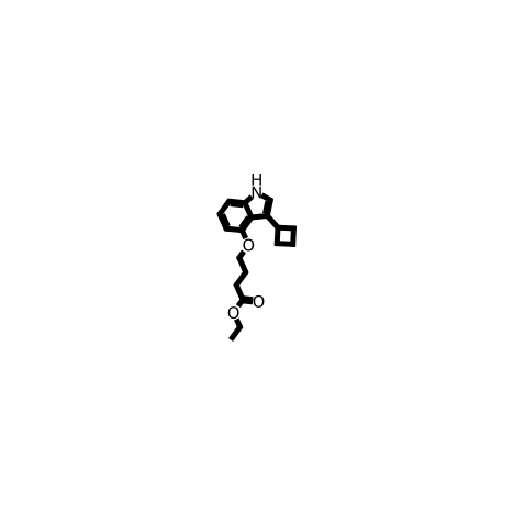 CCOC(=O)CCCOc1cccc2[nH]cc(C3CCC3)c12